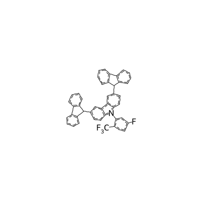 Fc1ccc(C(F)(F)F)c(-n2c3ccc(C4c5ccccc5-c5ccccc54)cc3c3cc(C4c5ccccc5-c5ccccc54)ccc32)c1